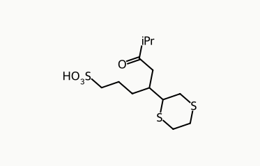 CC(C)C(=O)CC(CCCS(=O)(=O)O)C1CSCCS1